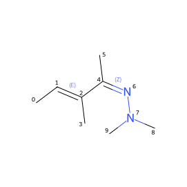 C/C=C(C)/C(C)=N\N(C)C